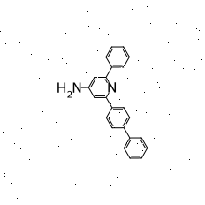 Nc1cc(-c2ccccc2)nc(-c2ccc(-c3ccccc3)cc2)c1